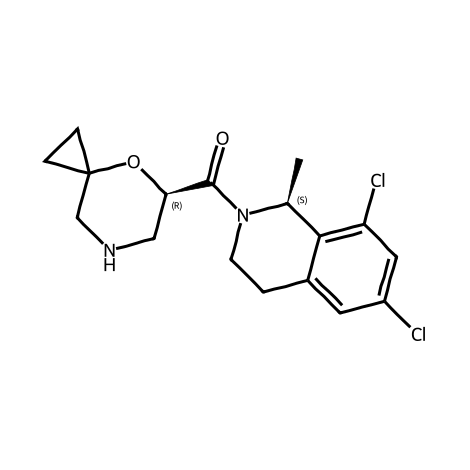 C[C@H]1c2c(Cl)cc(Cl)cc2CCN1C(=O)[C@H]1CNCC2(CC2)O1